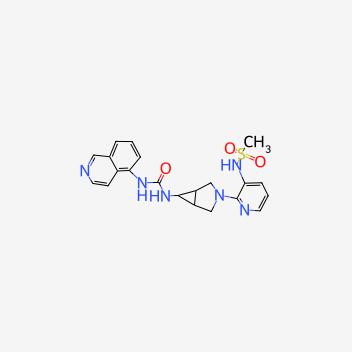 CS(=O)(=O)Nc1cccnc1N1CC2C(C1)C2NC(=O)Nc1cccc2cnccc12